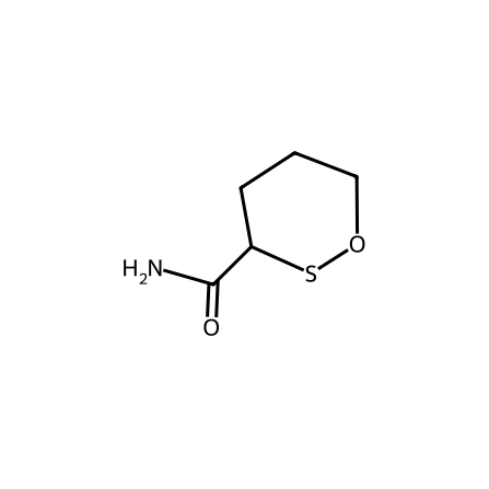 NC(=O)C1CCCOS1